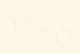 N#CCc1ccccc1C#Cc1ccc(F)cc1